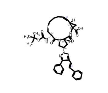 CC(C)(C)OC(=O)N[C@@H]1CCCCC/C=C\[C@@H]2C[C@]2(C(=O)O)NC(=O)[C@@H]2C[C@H](n3nc(/C=C/c4ccccc4)c(-c4ccccc4)n3)CN2C1=O